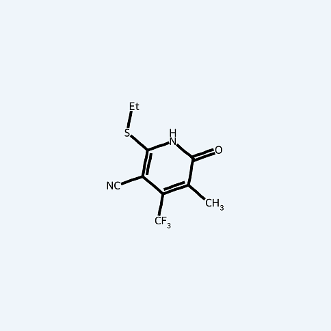 CCSc1[nH]c(=O)c(C)c(C(F)(F)F)c1C#N